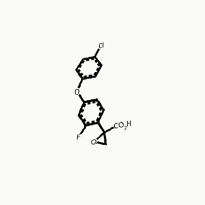 O=C(O)C1(c2ccc(Oc3ccc(Cl)cc3)cc2F)CO1